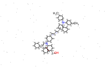 Cc1ccc(N(c2ccc(C)cc2)c2ccc(/C=C/C=C/c3ccc(N(C=C(c4ccccc4)c4ccccc4)c4ccc(CO)cc4)cc3)c3ccccc23)cc1